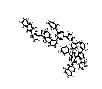 c1ccc(-c2nc(-c3ccc4ccccc4c3)nc(-c3cc(-c4cccc5sc6c(-c7cccc(-c8nc(-c9ccccc9)nc(-c9cccc%10oc%11c(-c%12cccc%13c%12oc%12cc%14ccccc%14cc%12%13)nccc%11c9%10)n8)c7)cccc6c45)cc4oc5cnccc5c34)n2)cc1